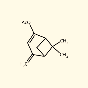 C=C1C=C(OC(C)=O)C2CC1C2(C)C